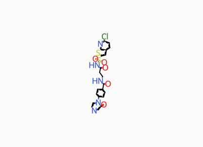 O=C(CCNC(=O)c1ccc(-n2ccncc2=O)cc1)NS(=O)(=O)c1cc2ccc(Cl)nc2s1